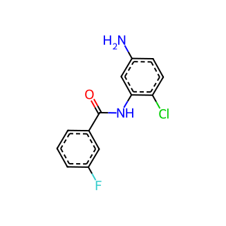 Nc1ccc(Cl)c(NC(=O)c2cccc(F)c2)c1